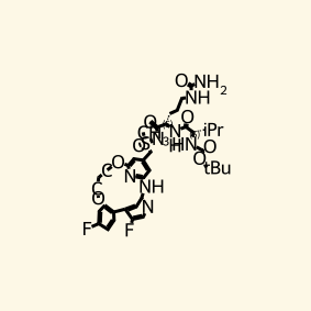 CC(C)[C@H](NC(=O)OC(C)(C)C)C(=O)N[C@@H](CCCNC(N)=O)C(=O)N=S(C)(=O)Cc1cc2nc(c1)OCCCOc1cc(F)ccc1-c1cc(ncc1F)N2